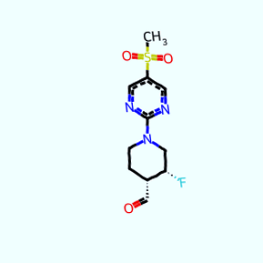 CS(=O)(=O)c1cnc(N2CC[C@@H](C=O)[C@@H](F)C2)nc1